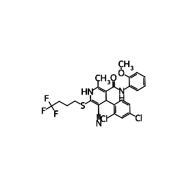 COc1ccccc1NC(=O)C1=C(C)NC(SCCCC(F)(F)F)=C(C#N)C1c1ccc(Cl)cc1Cl